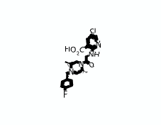 C[C@@H]1CN(Cc2ccc(F)cc2)[C@@H](C)CN1C(=O)CNc1ncc(Cl)cc1C(=O)O